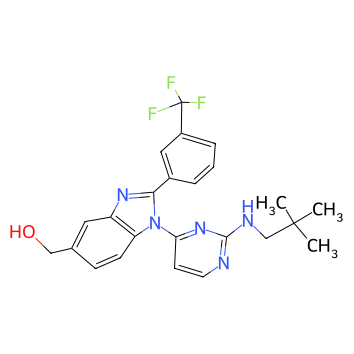 CC(C)(C)CNc1nccc(-n2c(-c3cccc(C(F)(F)F)c3)nc3cc(CO)ccc32)n1